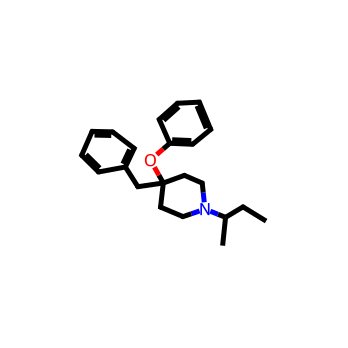 CCC(C)N1CCC(Cc2ccccc2)(Oc2ccccc2)CC1